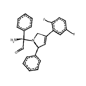 N[C@@](C=O)(c1ccccc1)N1CC(c2cc(F)ccc2F)=CC1c1ccccc1